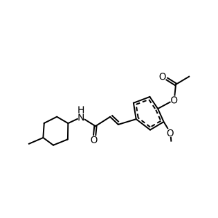 COc1cc(C=CC(=O)NC2CCC(C)CC2)ccc1OC(C)=O